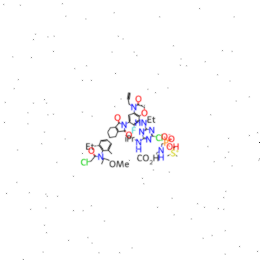 C#CCN1C(=O)COc2cc(F)c(N3C(=O)C4=C(CCCC4)C3=O)cc21.CCNc1nc(Cl)nc(NC(C)C)n1.CCc1cccc(C)c1N(C(=O)CCl)C(C)COC.C[S+](C)C.O=C(O)CNCP(=O)([O-])O